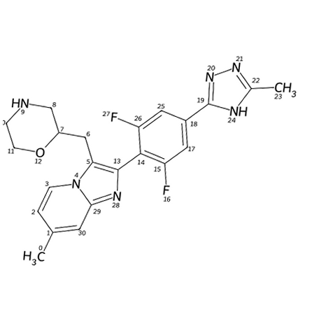 Cc1ccn2c(CC3CNCCO3)c(-c3c(F)cc(-c4nnc(C)[nH]4)cc3F)nc2c1